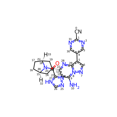 N#Cc1ncc(-c2cnn3c(N)cc([C@@H]4C[C@H]5CC[C@@H](C4)N5C(=O)c4nnc[nH]4)nc23)cn1